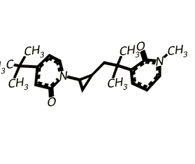 Cn1cccc(C(C)(C)CC2CC2n2ccc(C(C)(C)C)cc2=O)c1=O